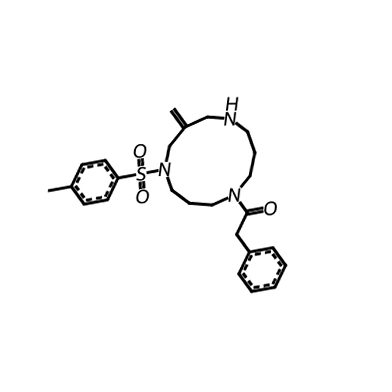 C=C1CNCCCN(C(=O)Cc2ccccc2)CCCN(S(=O)(=O)c2ccc(C)cc2)C1